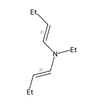 CC/C=C/N(/C=C/CC)CC